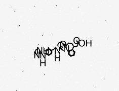 O=C(O)CC1CCC(=O)N(CC(=O)NCc2ccc(NC3=NCCN3)cc2)c2ccccc21